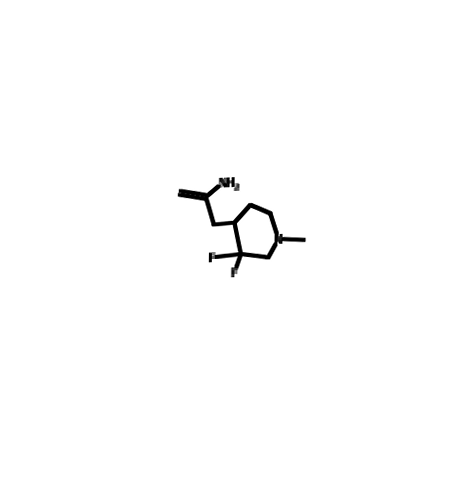 C=C(N)CC1CCN(C)CC1(F)F